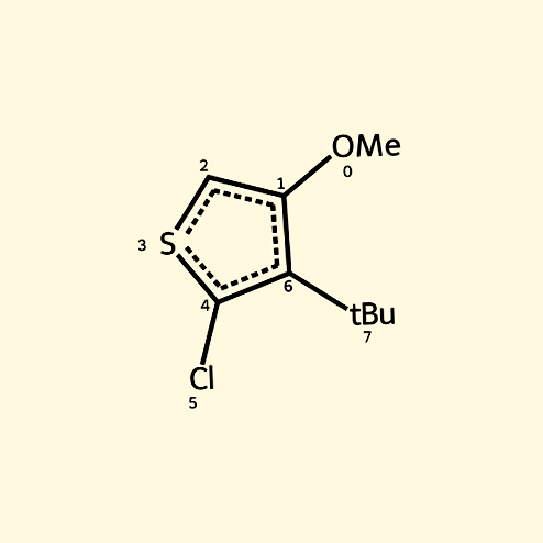 COc1csc(Cl)c1C(C)(C)C